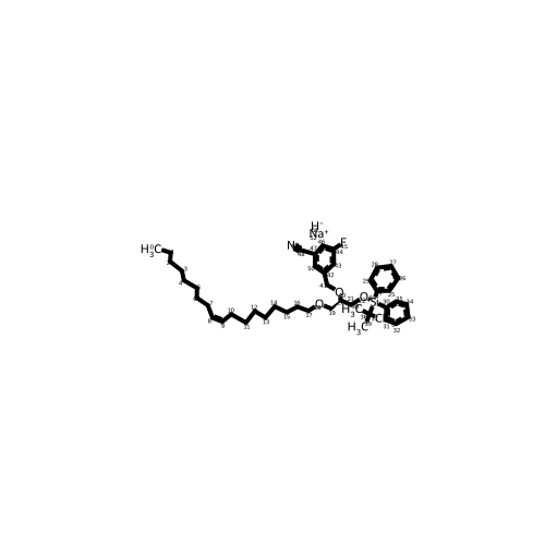 CCCCCCCC/C=C\CCCCCCCCOC[C@H](CO[Si](c1ccccc1)(c1ccccc1)C(C)(C)C)OCc1cc(F)cc(C#N)c1.[H-].[Na+]